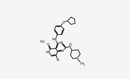 CN1CCC(Nc2nc(Nc3ccc(OC4CCCC4)cc3)c3c(=O)[nH]cc(Br)c3n2)CC1.Cl